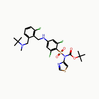 CN(Cc1cccc(F)c1CNc1cc(F)c(S(=O)(=O)N(C(=O)OC(C)(C)C)c2cscn2)c(F)c1)C(C)(C)C